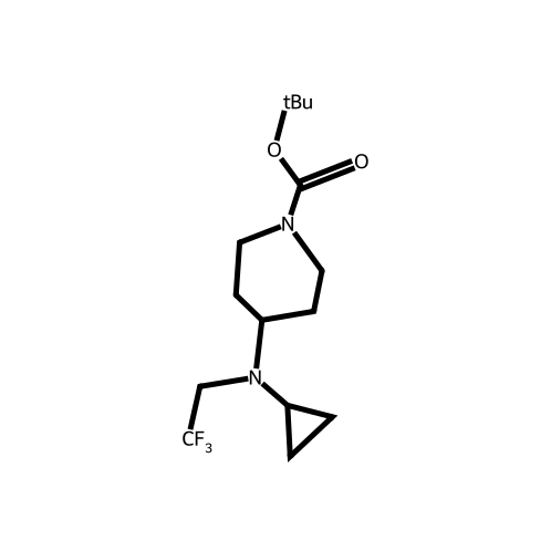 CC(C)(C)OC(=O)N1CCC(N(CC(F)(F)F)C2CC2)CC1